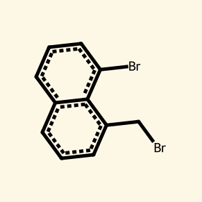 BrCc1cccc2cccc(Br)c12